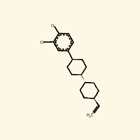 C=C[C@H]1CC[C@H](C2CCC(c3ccc(Cl)c(Cl)c3)CC2)CC1